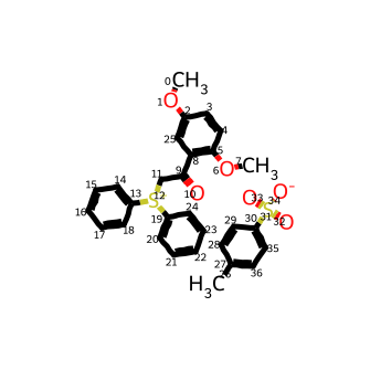 COc1ccc(OC)c(C(=O)C[S+](c2ccccc2)c2ccccc2)c1.Cc1ccc(S(=O)(=O)[O-])cc1